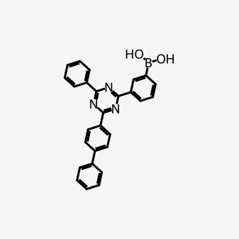 OB(O)c1cccc(-c2nc(-c3ccccc3)nc(-c3ccc(-c4ccccc4)cc3)n2)c1